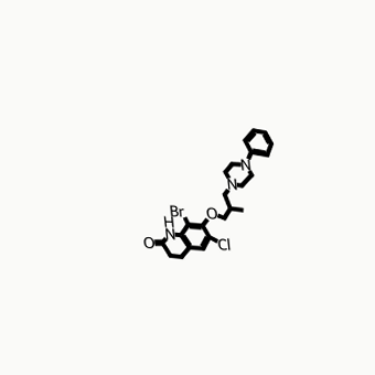 CC(COc1c(Cl)cc2c(c1Br)NC(=O)CC2)CN1CCN(c2ccccc2)CC1